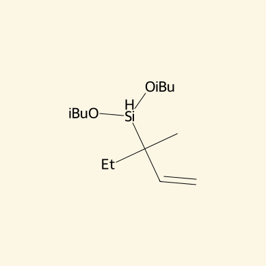 C=CC(C)(CC)[SiH](OCC(C)C)OCC(C)C